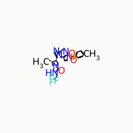 CC[C@@H]1CN(C(=O)NCC(F)(F)F)C[C@@H]1c1cnc2cnc3c(ccn3S(=O)(=O)c3ccc(C)cc3)n12